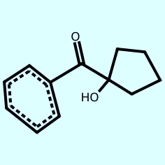 O=C(c1ccccc1)C1(O)CCCC1